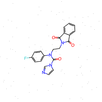 O=C1c2ccccc2C(=O)N1CCN(C(=O)n1ccnc1)c1ccc(F)cc1